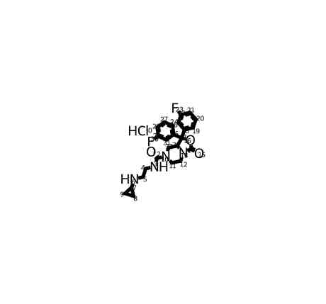 Cl.O=C(NCCNC1CC1)N1CCN2C(=O)OC(c3cccc(F)c3)(c3cccc(F)c3)C2C1